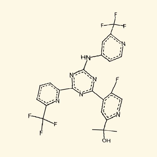 CC(C)(O)c1cc(-c2nc(Nc3ccnc(C(F)(F)F)c3)nc(-c3cccc(C(F)(F)F)n3)n2)c(F)cn1